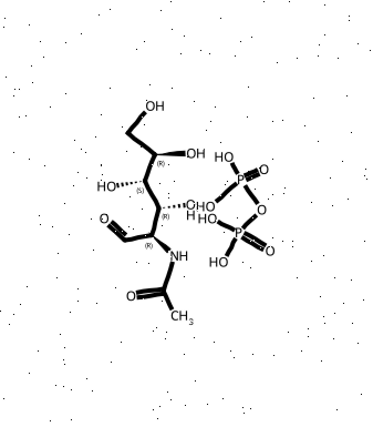 CC(=O)N[C@@H](C=O)[C@@H](O)[C@H](O)[C@H](O)CO.O=P(O)(O)OP(=O)(O)O